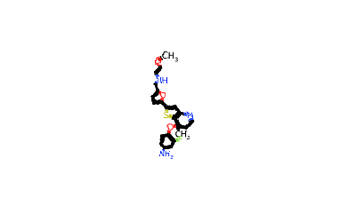 COCCNCc1ccc(-c2cc3c(s2)C(C)(Oc2ccc(N)cc2F)CC=N3)o1